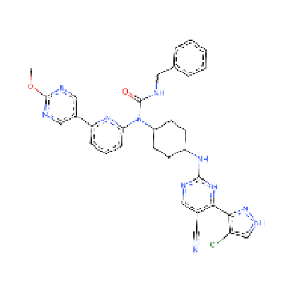 COc1ncc(-c2cccc(N(C(=O)NCc3ccccc3)C3CCC(Nc4ncc(C#N)c(-c5n[nH]cc5Cl)n4)CC3)n2)cn1